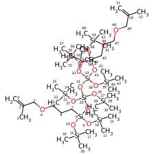 C=C(C)COCCC[Si](O[Si](C)(C)C)(O[Si](C)(C)C)O[Si](O[Si](C)(C)C)(O[Si](C)(C)C)O[Si](O[Si](C)(C)C)(O[Si](C)(C)C)O[Si](CCCOCC(=C)C)(O[Si](C)(C)C)O[Si](C)(C)C